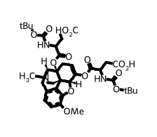 COc1ccc2c3c1O[C@H]1C(OC(=O)C(CC(=O)O)NC(=O)OC(C)(C)C)=CC[C@@]4(OC(=O)C(CC(=O)O)NC(=O)OC(C)(C)C)[C@@H](C2)N(C)CC[C@]314